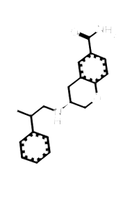 CC(CN[C@@H]1COc2ccc(C(N)=O)cc2C1)c1ccccc1